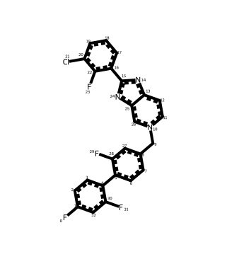 Fc1ccc(-c2ccc(Cn3ccc4nc(-c5cccc(Cl)c5F)nc-4c3)cc2F)c(F)c1